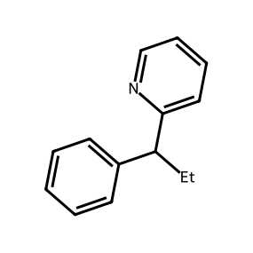 CCC(c1ccccc1)c1ccccn1